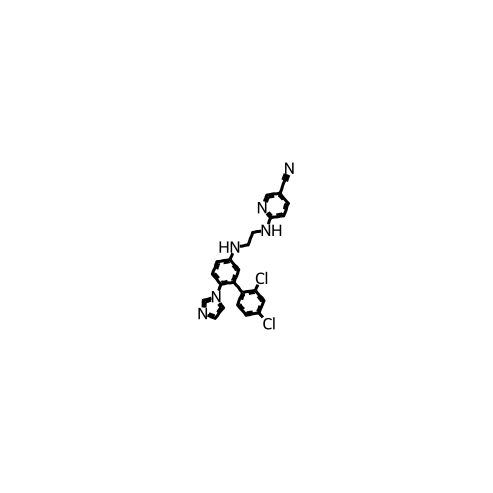 N#Cc1ccc(NCCNc2ccc(-n3ccnc3)c(-c3ccc(Cl)cc3Cl)c2)nc1